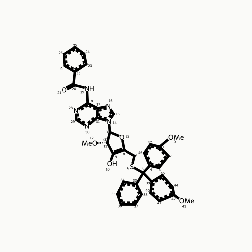 COc1ccc(C(SCC2=C(O)[C@H](OC)C(n3cnc4c(NC(=O)c5ccccc5)ncnc43)O2)(c2ccccc2)c2ccc(OC)cc2)cc1